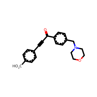 O=C(O)c1ccc(C#CC(=O)c2ccc(CN3CCOCC3)cc2)cc1